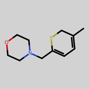 CC1=CC=C(CN2CCOCC2)SC1